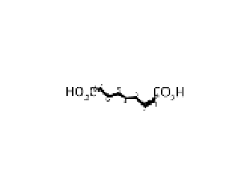 O=C(O)/C=C\CCCCCC(=O)O